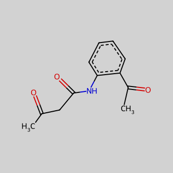 CC(=O)CC(=O)Nc1ccccc1C(C)=O